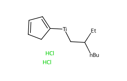 CCCCC(CC)[CH2][Ti][C]1=CC=CC1.Cl.Cl